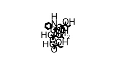 CC(C)C(O)C(=O)C[C@H](Nc1ccccc1)C(=O)O.CC(C)C[C@H](N)C(=O)O.CCC(O)C(=O)O